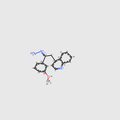 N/N=C(/Cc1ccnc2ccccc12)c1cccc(OC(F)(F)F)c1